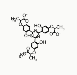 CC(Oc1ccc(-c2nc(-c3ccc(OC(C)C(=O)[O-])cc3O)nc(-c3ccc(OC(C)C(=O)[O-])cc3O)n2)c(O)c1)C(=O)[O-].[K+].[K+].[K+]